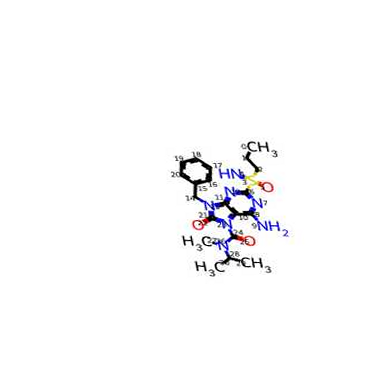 CCCS(=N)(=O)c1nc(N)c2c(n1)n(Cc1ccccc1)c(=O)n2C(=O)N(C)C(C)C